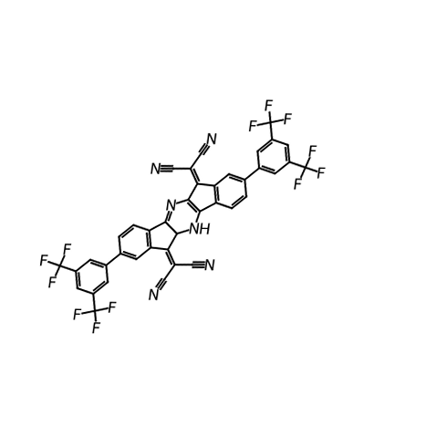 N#CC(C#N)=C1C2=C(NC3C(=N2)c2ccc(-c4cc(C(F)(F)F)cc(C(F)(F)F)c4)cc2C3=C(C#N)C#N)c2ccc(-c3cc(C(F)(F)F)cc(C(F)(F)F)c3)cc21